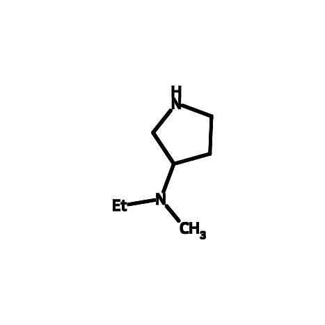 [CH2]CN(C)C1CCNC1